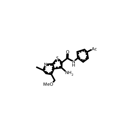 COCc1cc(C)nc2sc(C(=O)Nc3ccc(C(C)=O)cc3)c(N)c12